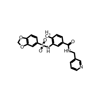 Cc1ccc(C(=O)NCc2cccnc2)cc1NS(=O)(=O)c1ccc2c(c1)OCO2